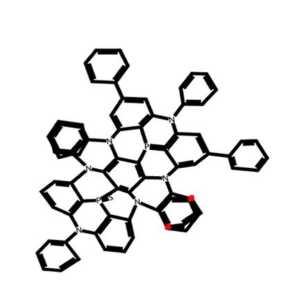 S=P12c3c4cccc3N(c3ccccc3)c3c5c6c(c(c31)N(c1ccccc1)c1cccc(c12)N4c1ccccc1)N(c1ccccc1)c1cc(-c2ccccc2)cc2c1P6(=S)c1c(cc(-c3ccccc3)cc1N5c1ccccc1)N2c1ccccc1